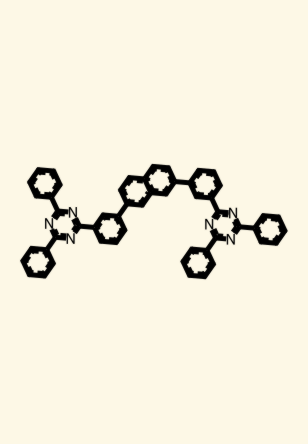 c1ccc(-c2nc(-c3ccccc3)nc(-c3cccc(-c4ccc5ccc(-c6cccc(-c7nc(-c8ccccc8)nc(-c8ccccc8)n7)c6)cc5c4)c3)n2)cc1